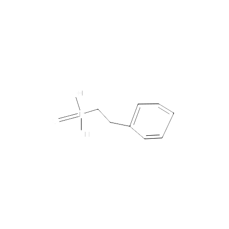 O=P(O)(O)CCc1cc[c]cc1